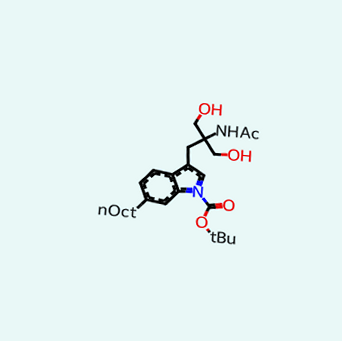 CCCCCCCCc1ccc2c(CC(CO)(CO)NC(C)=O)cn(C(=O)OC(C)(C)C)c2c1